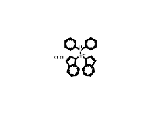 C1=C[CH]([Hf+2]([CH]2C=Cc3ccccc32)[SiH](c2ccccc2)c2ccccc2)c2ccccc21.[Cl-].[Cl-]